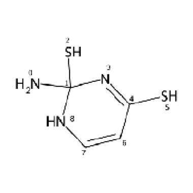 NC1(S)N=C(S)C=CN1